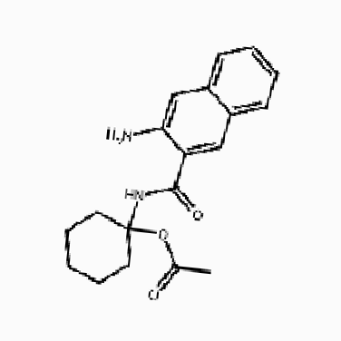 CC(=O)OC1(NC(=O)c2cc3ccccc3cc2N)CCCCC1